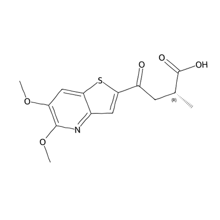 COc1cc2sc(C(=O)C[C@@H](C)C(=O)O)cc2nc1OC